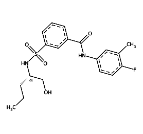 CCC[C@@H](CO)NS(=O)(=O)c1cccc(C(=O)Nc2ccc(F)c(C)c2)c1